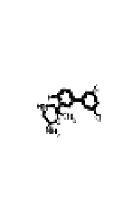 CC1(c2cc(-c3cc(Cl)cc(Cl)c3)ccc2F)CNC[C@H](N)O1